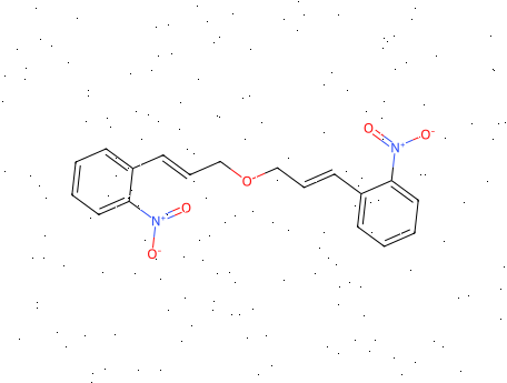 O=[N+]([O-])c1ccccc1C=CCOCC=Cc1ccccc1[N+](=O)[O-]